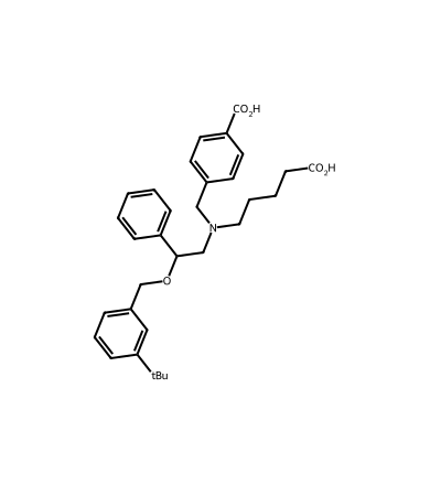 CC(C)(C)c1cccc(COC(CN(CCCCC(=O)O)Cc2ccc(C(=O)O)cc2)c2ccccc2)c1